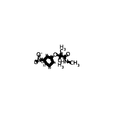 CNC(=O)C(C)(C)Oc1cccc([N+](=O)[O-])c1